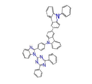 c1ccc(-c2nc(-c3ccccc3)nc(-n3c(-c4ccc(-n5c6ccccc6c6cc(-c7ccc8c(c7)c7ccccc7n8-c7ccccc7)ccc65)cc4)nc4ccccc43)n2)cc1